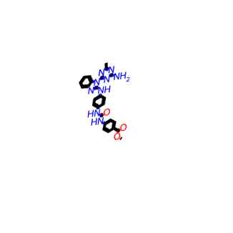 COC(=O)c1ccc(NC(=O)Nc2ccc(Nc3nc4ccccc4n3-c3nc(C)nc(N)n3)cc2)cc1